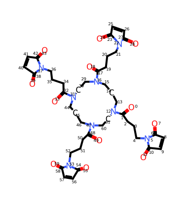 O=C(CCCN1C(=O)C=CC1=O)N1CCCN(C(=O)CCCN2C(=O)C=CC2=O)CCN(C(=O)CCCN2C(=O)C=CC2=O)CCCN(C(=O)CCCN2C(=O)C=CC2=O)CC1